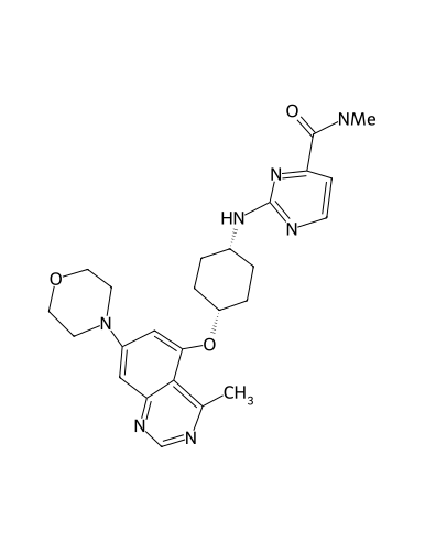 CNC(=O)c1ccnc(N[C@H]2CC[C@@H](Oc3cc(N4CCOCC4)cc4ncnc(C)c34)CC2)n1